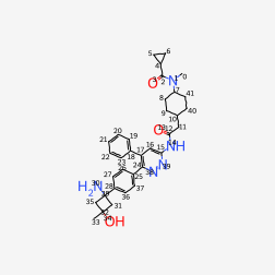 CN(C(=O)C1CC1)C1CCC(CC(=O)Nc2cc(-c3ccccc3)c(-c3ccc(C4(N)CC(C)(O)C4)cc3)nn2)CC1